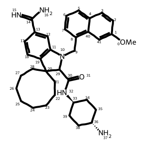 COc1ccc2cccc(CN3c4cc(C(=N)N)ccc4C4(CCCCCCCC4)C3C(=O)N[C@H]3CC[C@H](N)CC3)c2c1